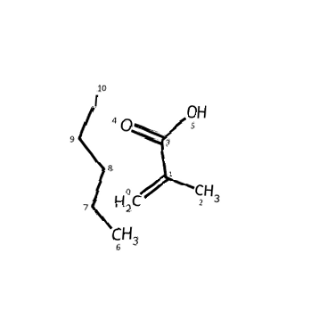 C=C(C)C(=O)O.CCCCI